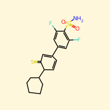 NS(=O)(=O)c1c(F)cc(C2=CC(=S)C(C3CCCCC3)C=C2)cc1F